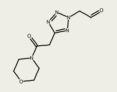 O=[C]Cn1nnc(CC(=O)N2CCOCC2)n1